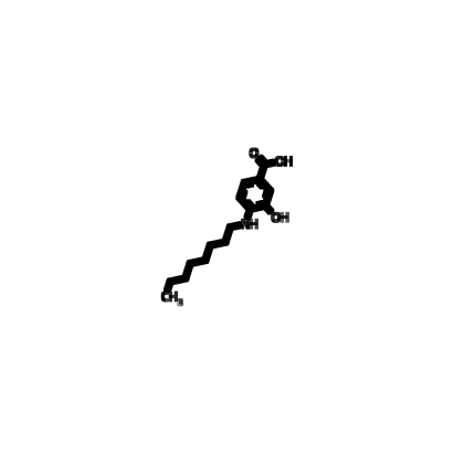 CCCCCCCCNc1ccc(C(=O)O)cc1O